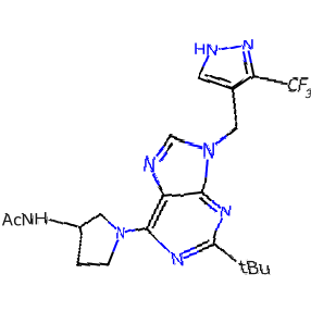 CC(=O)NC1CCN(c2nc(C(C)(C)C)nc3c2ncn3Cc2c[nH]nc2C(F)(F)F)C1